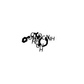 CC(C)C(NC(=O)OCc1ccccc1)C(=O)NC1CCc2cc([nH]n2)CCCNC(=O)C1=O